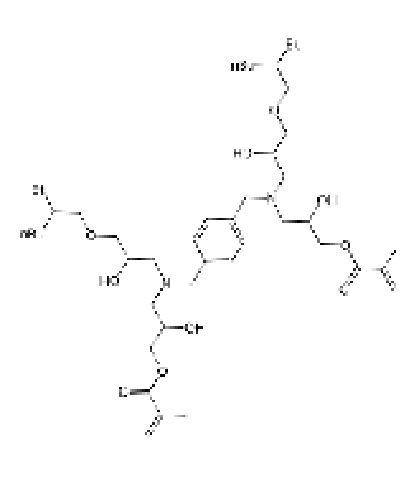 C=C(C)C(=O)OCC(O)CN(Cc1ccc(CN(CC(O)COCC(CC)CCCC)CC(O)COC(=O)C(=C)C)cc1)CC(O)COCC(CC)CCCC